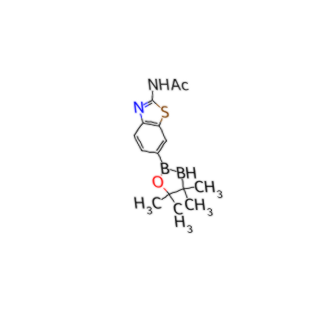 CC(=O)Nc1nc2ccc(B3BC(C)(C)C(C)(C)O3)cc2s1